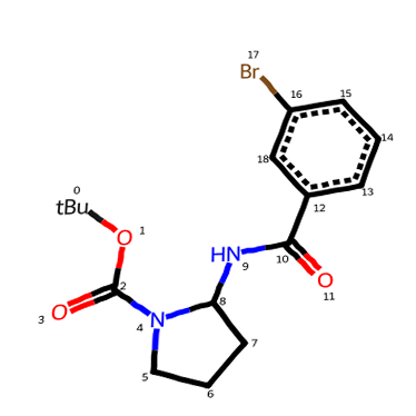 CC(C)(C)OC(=O)N1CCCC1NC(=O)c1cccc(Br)c1